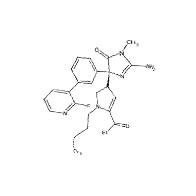 CCC(=O)C1=CC([C@]2(c3cccc(-c4cccnc4F)c3)N=C(N)N(C)C2=O)CN1CCCC(F)(F)F